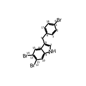 Brc1ccc(Cc2c[nH]c3cc(Br)c(Br)cc23)cc1